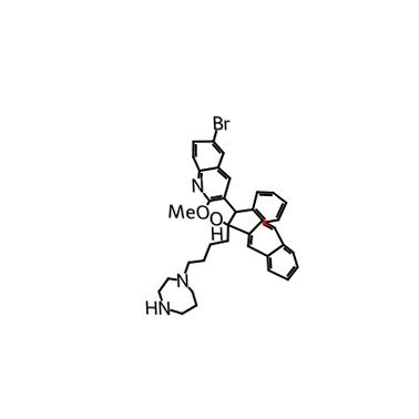 COc1nc2ccc(Br)cc2cc1C(c1ccccc1)C(O)(CCCCN1CCCNCC1)c1ccc2ccccc2c1